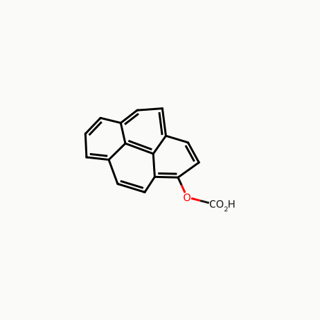 O=C(O)Oc1ccc2ccc3cccc4ccc1c2c34